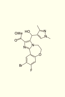 COC(=O)c1nc2n(c1C(O)c1cn(C)nc1C)CCOc1cc(F)c(Br)cc1-2